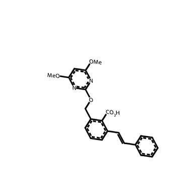 COc1cc(OC)nc(OCc2cccc(/C=C/c3ccccc3)c2C(=O)O)n1